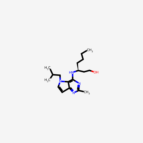 CCCC[C@@H](CCO)Nc1nc(C)nc2ccn(CC(C)C)c12